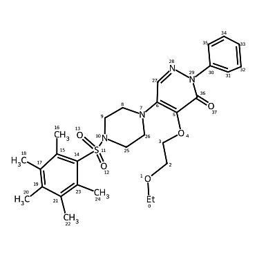 CCOCCOc1c(N2CCN(S(=O)(=O)c3c(C)c(C)c(C)c(C)c3C)CC2)cnn(-c2ccccc2)c1=O